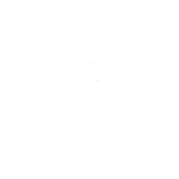 c1ccc(-c2ccc(-c3nc(-c4cc(-c5cccc6oc7ccccc7c56)c5ccccc5c4)nc(-c4ccc5c(ccc6oc7ccccc7c65)c4)n3)cc2)cc1